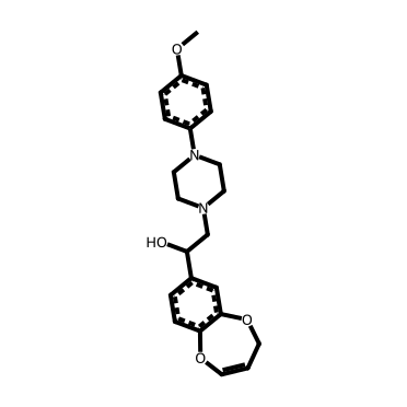 COc1ccc(N2CCN(CC(O)c3ccc4c(c3)OCC=CO4)CC2)cc1